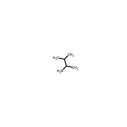 [CH2]C(N)C(C)C